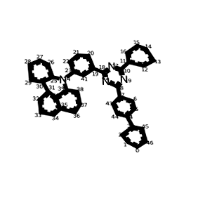 c1ccc(-c2ccc(-c3nc(-c4ccccc4)nc(-c4cccc(N5c6ccccc6-c6cccc7cccc5c67)c4)n3)cc2)cc1